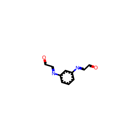 O=CC=Nc1cccc(N=CC=O)c1